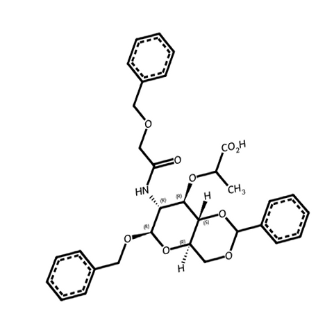 CC(O[C@@H]1[C@@H](NC(=O)COCc2ccccc2)[C@H](OCc2ccccc2)O[C@@H]2COC(c3ccccc3)O[C@@H]12)C(=O)O